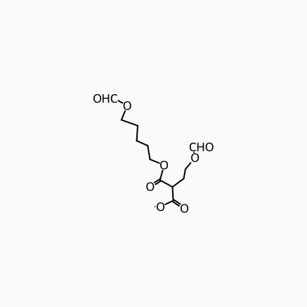 [O]C(=O)C(CCOC=O)C(=O)OCCCCCOC=O